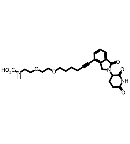 O=C(O)NCCOCCOCCCCC#Cc1cccc2c1CN(C1CCC(=O)NC1=O)C2=O